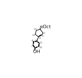 CCCCCCCCC1CC=C(c2ccc(O)cc2)CC1